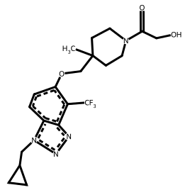 CC1(COc2ccc3c(nnn3CC3CC3)c2C(F)(F)F)CCN(C(=O)CO)CC1